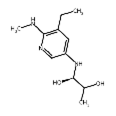 CCc1cc(N[C@H](O)C(C)O)cnc1NC